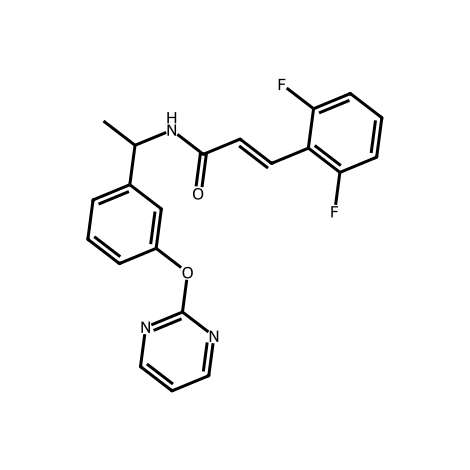 CC(NC(=O)C=Cc1c(F)cccc1F)c1cccc(Oc2ncccn2)c1